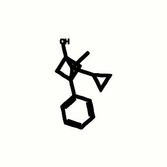 CC1(C2CC2)C2(O)CC1(c1ccccc1)C2